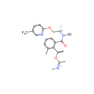 C=C(O/C(C)=N\C)c1c(C)cccc1C(=O)N(CC)[C@@H](C)COc1ccc(C(F)(F)F)cn1